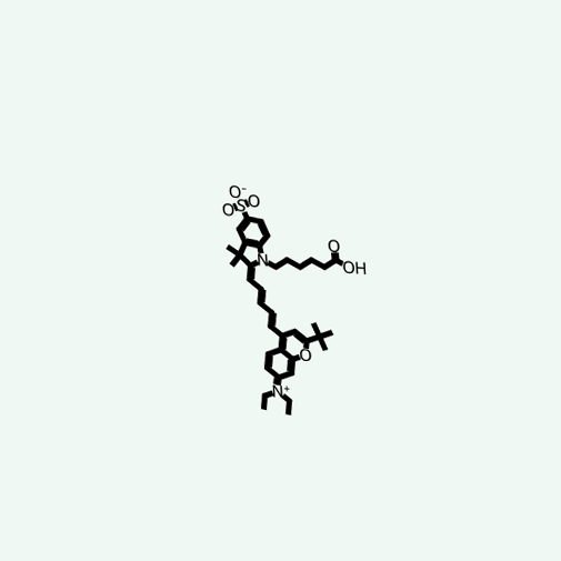 CC[N+](CC)=c1ccc2c(C=CC=CC=C3N(CCCCCC(=O)O)c4ccc(S(=O)(=O)[O-])cc4C3(C)C)cc(C(C)(C)C)oc-2c1